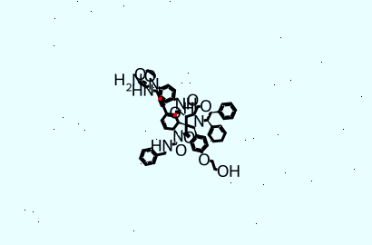 NC(=O)NCC#CC1=CC2C(C=C1)N(C(=O)NCc1ccccc1)C(=O)[C@]21[C@H](c2ccc(OCCO)cc2)N2[C@H](C3=CCCC=C3)[C@H](c3ccccc3)OC(=O)[C@H]2[C@@H]1C(=O)Nc1ccc(N2CCOCC2)cc1